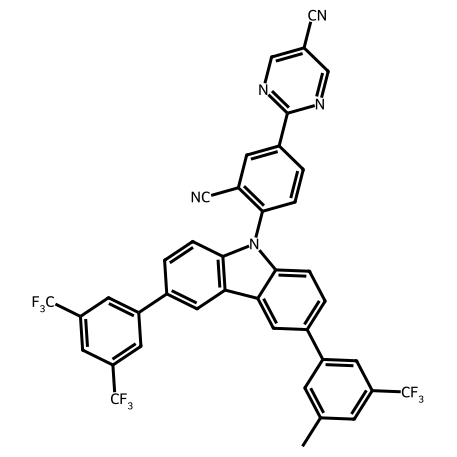 Cc1cc(-c2ccc3c(c2)c2cc(-c4cc(C(F)(F)F)cc(C(F)(F)F)c4)ccc2n3-c2ccc(-c3ncc(C#N)cn3)cc2C#N)cc(C(F)(F)F)c1